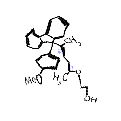 COc1ccc(C2(/C(C)=C/C=C(\C)OCCO)c3ccccc3-c3ccccc32)cc1